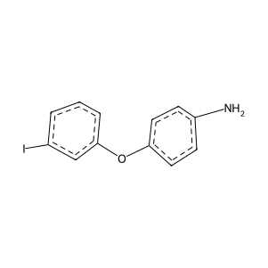 Nc1ccc(Oc2cccc(I)c2)cc1